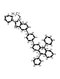 CCn1c(-c2ccccc2)nc2cc(-c3ccc(-c4ccc5c(-c6ccccc6)c6ccccc6c(-c6ccccc6)c5c4)cc3)ccc21